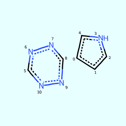 c1cc[nH]c1.c1nncnn1